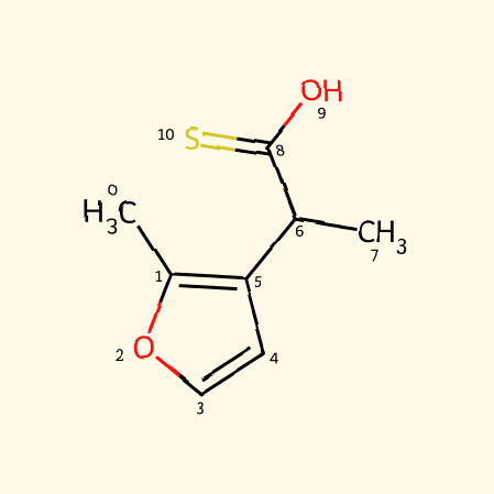 Cc1occc1C(C)C(O)=S